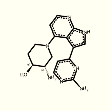 Nc1nccc(-c2c[nH]c3nccc(N4CC[C@H](O)[C@@H](N)C4)c23)n1